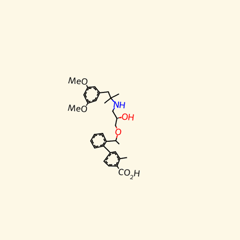 COc1cc(CC(C)(C)NC[C@@H](O)COC(C)c2ccccc2-c2ccc(C(=O)O)c(C)c2)cc(OC)c1